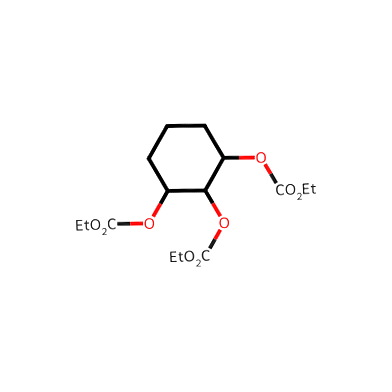 CCOC(=O)OC1CCCC(OC(=O)OCC)C1OC(=O)OCC